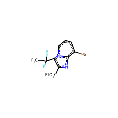 CCOC(=O)c1nc2c(Br)cccn2c1C(F)(F)C(F)(F)F